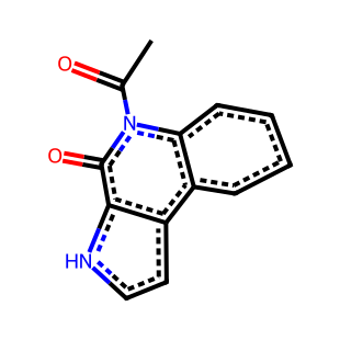 CC(=O)n1c(=O)c2[nH]ccc2c2ccccc21